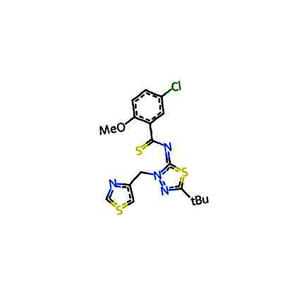 COc1ccc(Cl)cc1C(=S)N=c1sc(C(C)(C)C)nn1Cc1cscn1